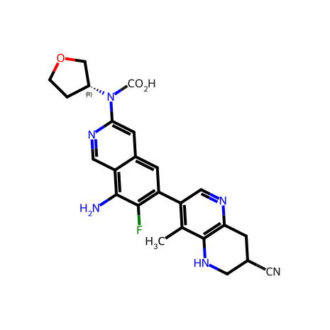 Cc1c(-c2cc3cc(N(C(=O)O)[C@@H]4CCOC4)ncc3c(N)c2F)cnc2c1NCC(C#N)C2